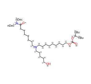 CCCCCCCCCCN(CCCCCCCCCC)C(=O)CCCCCCCN(CCCCCO)CCCCCCCCCOC(=O)OC(CCCC)CCCC